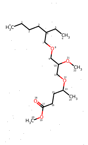 CCCCC(CC)COCC(COC(C)CCC(=O)OC)OC